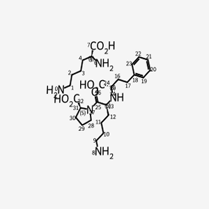 NCCCC[C@H](N)C(=O)O.NCCCC[C@H](N[C@@H](CCc1ccccc1)C(=O)O)C(=O)N1CCC[C@H]1C(=O)O